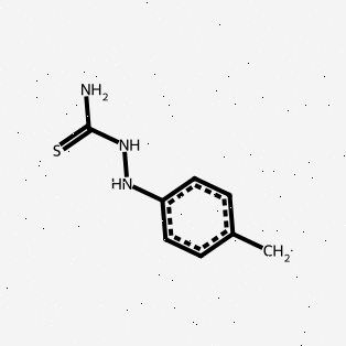 [CH2]c1ccc(NNC(N)=S)cc1